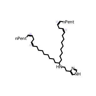 CCCCC/C=C\C/C=C\CCCCCCCCC(CCCCCCCC/C=C\C/C=C\CCCCC)NCCc1c[nH]cn1